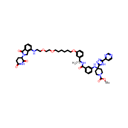 C[C@@H](NC(=O)c1cccc(NC2(c3nnc(-c4ccncn4)[nH]3)CCN(C(=O)OC(C)(C)C)CC2)c1)c1cccc(OCCCCCCOCCOCCNc2cccc3c2CN(C2CCC(=O)NC2=O)C3=O)c1